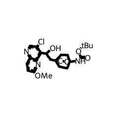 COc1ccc2ncc(Cl)c(C(O)CC34CCC(NC(=O)OC(C)(C)C)(CC3)CC4)c2n1